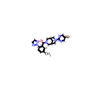 Cc1ccc(-n2nccn2)c(C(=O)N2CC3CC(C2)CN(c2ncc(Br)cn2)C3)c1